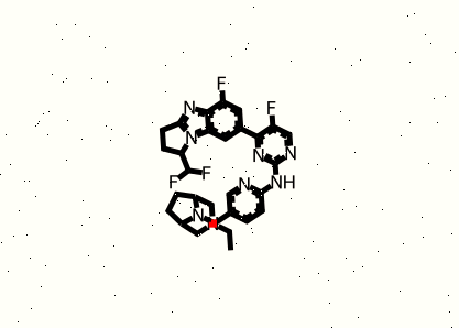 CCN1CC2CCC(C1)N2Cc1ccc(Nc2ncc(F)c(-c3cc(F)c4nc5n(c4c3)C(C(F)F)CC5)n2)nc1